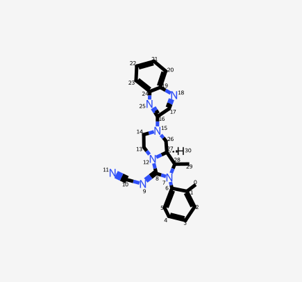 Cc1ccccc1N1/C(=N/C#N)N2CCN(c3cnc4ccccc4n3)C[C@H]2C1C